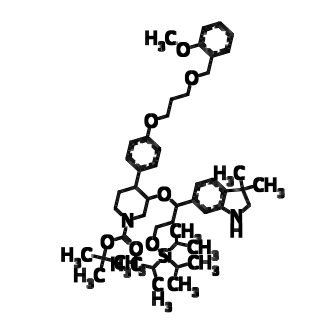 COc1ccccc1COCCCOc1ccc(C2CCN(C(=O)OC(C)(C)C)CC2OC(CCO[Si](C(C)C)(C(C)C)C(C)C)c2ccc3c(c2)NCC3(C)C)cc1